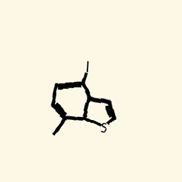 CC1=CC=C(I)C2C=CSC12